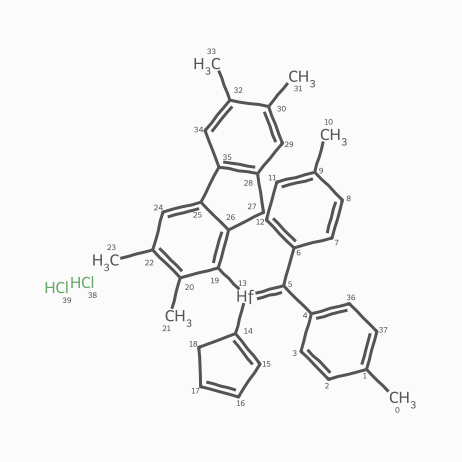 Cc1ccc([C](c2ccc(C)cc2)=[Hf]([C]2=CC=CC2)[c]2c(C)c(C)cc3c2Cc2cc(C)c(C)cc2-3)cc1.Cl.Cl